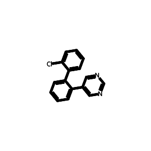 Clc1ccccc1-c1ccccc1-c1cncnc1